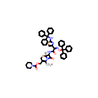 O=C(O)C1=C(COC(=O)N2CCCCC2)CS[C@H]2C(NC(=O)/C(=N\OC(c3ccccc3)(c3ccccc3)c3ccccc3)c3csc(NC(c4ccccc4)(c4ccccc4)c4ccccc4)n3)C(=O)N12